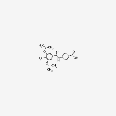 Cc1c(OC(C)C)cc(C(=O)Nc2ccc(C(=O)O)cc2)cc1OC(C)C